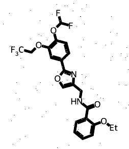 CCOc1ccccc1C(=O)NCc1coc(-c2ccc(OC(F)F)c(OCC(F)(F)F)c2)n1